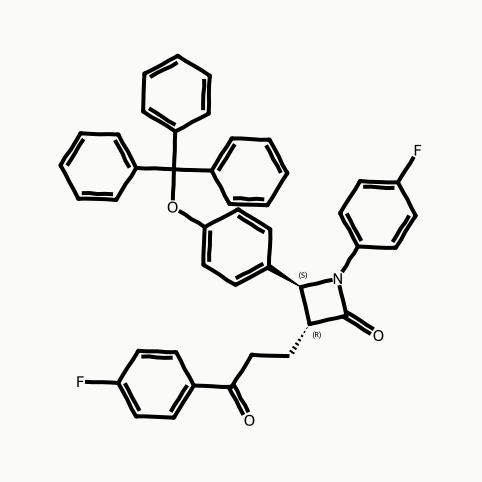 O=C(CC[C@H]1C(=O)N(c2ccc(F)cc2)[C@@H]1c1ccc(OC(c2ccccc2)(c2ccccc2)c2ccccc2)cc1)c1ccc(F)cc1